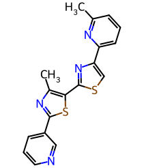 Cc1cccc(-c2csc(-c3sc(-c4cccnc4)nc3C)n2)n1